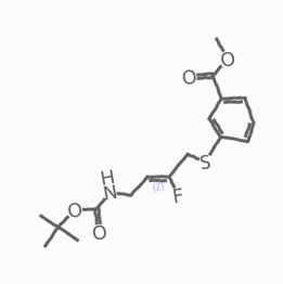 COC(=O)c1cccc(SC/C(F)=C/CNC(=O)OC(C)(C)C)c1